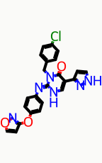 O=c1c(-c2cc[nH]n2)c[nH]/c(=N\c2ccc(Oc3ccon3)cc2)n1Cc1ccc(Cl)cc1